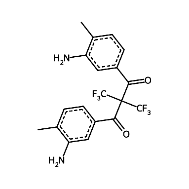 Cc1ccc(C(=O)C(C(=O)c2ccc(C)c(N)c2)(C(F)(F)F)C(F)(F)F)cc1N